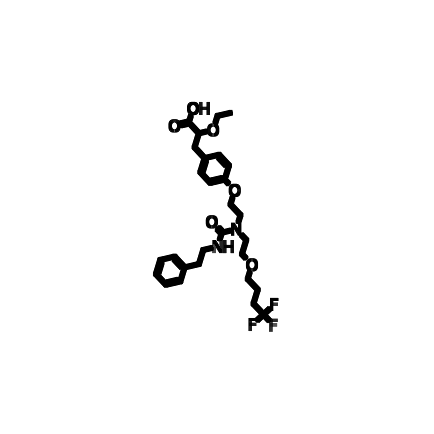 CCOC(Cc1ccc(OCCN(CCOCCCC(F)(F)F)C(=O)NCCc2ccccc2)cc1)C(=O)O